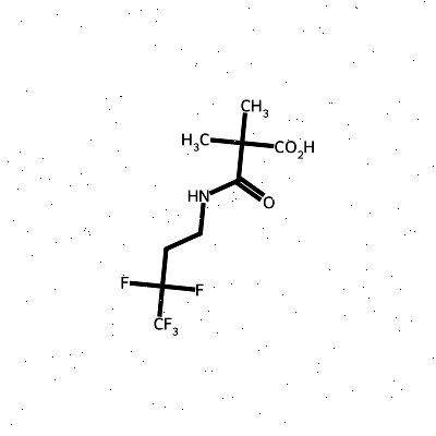 CC(C)(C(=O)O)C(=O)NCCC(F)(F)C(F)(F)F